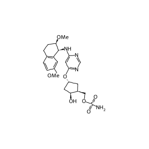 COc1ccc2c(c1)[C@H](Nc1cc(O[C@@H]3C[C@@H](COS(N)(=O)=O)[C@@H](O)C3)ncn1)[C@H](OC)CC2